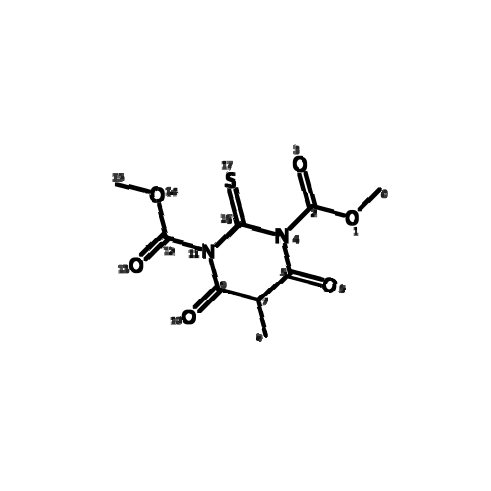 COC(=O)N1C(=O)C(C)C(=O)N(C(=O)OC)C1=S